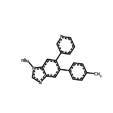 CCCCn1cnc2cc(-c3ccc(C)cc3)c(-c3cccnc3)cc21